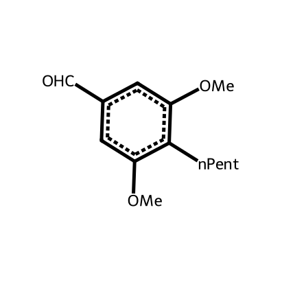 CCCCCc1c(OC)cc(C=O)cc1OC